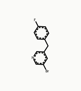 Fc1ccc(Cc2cncc(Br)c2)cc1